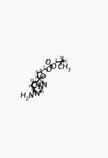 CC1(COC(=O)OC[C@@H]2CC[C@](C#N)(c3ccc4c(N)ncnn34)O2)CC1